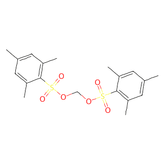 Cc1cc(C)c(S(=O)(=O)OCOS(=O)(=O)c2c(C)cc(C)cc2C)c(C)c1